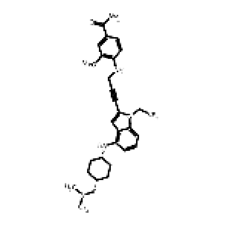 COc1cc(C(N)=O)ccc1NCC#Cc1cc2c(N[C@H]3CC[C@@H](CN(C)C)CC3)cccc2n1CC(F)(F)F